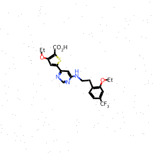 CCOc1cc(C(F)(F)F)ccc1CCNc1cc(-c2cc(OCC)c(C(=O)O)s2)ncn1